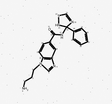 NCCCn1cnc2cc(C(=O)NC3(c4ccccc4)N=CSN3)ccc21